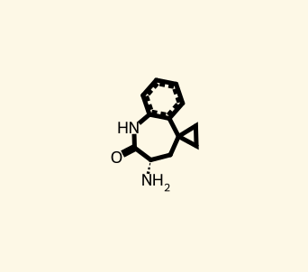 N[C@H]1CC2(CC2)c2ccccc2NC1=O